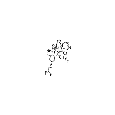 CC(=O)NC1(C(=O)NC(C)c2cc(CN)cc(OCC(F)F)c2)C=NC=CN1